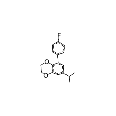 CC(C)c1cc2c(c(-c3ccc(F)cc3)c1)OCCO2